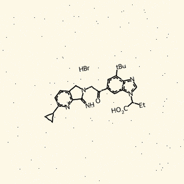 Br.CCC(C(=O)O)n1cnc2c(C(C)(C)C)cc(C(=O)CN3Cc4ccc(C5CC5)nc4C3=N)cc21